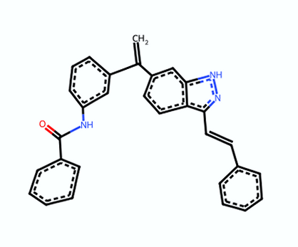 C=C(c1cccc(NC(=O)c2ccccc2)c1)c1ccc2c(C=Cc3ccccc3)n[nH]c2c1